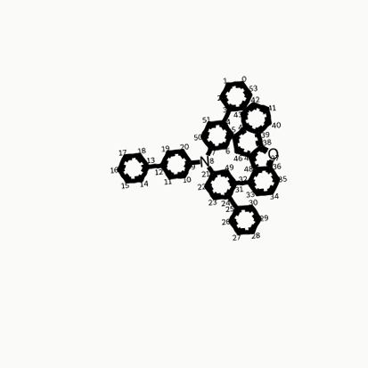 c1ccc(-c2ccc(N(c3ccc(-c4ccccc4)cc3)c3ccc(-c4ccccc4)c(-c4cccc5oc6c7ccccc7ccc6c45)c3)cc2)cc1